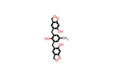 Cc1cc(Cc2cc3c(cc2O)OOC3)c(O)c(Cc2cc3c(cc2O)OOC3)c1